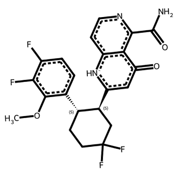 COc1c([C@H]2CCC(F)(F)C[C@@H]2c2cc(=O)c3c(C(N)=O)nccc3[nH]2)ccc(F)c1F